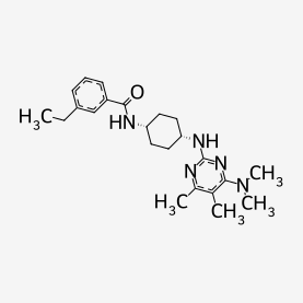 CCc1cccc(C(=O)N[C@H]2CC[C@@H](Nc3nc(C)c(C)c(N(C)C)n3)CC2)c1